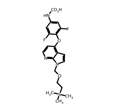 C[Si](C)(C)CCOCn1ccc2c(Oc3c(F)cc(NC(=O)O)cc3F)ccnc21